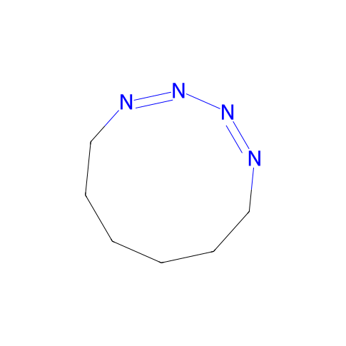 C1CCCN=NN=NCC1